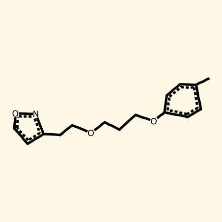 Cc1ccc(OCCCOCCc2ccon2)cc1